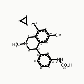 C1CC1.CN1Cc2c(Cl)cc(Cl)cc2C(c2cccc(NC(=O)O)c2)C1